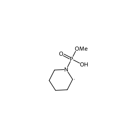 COP(=O)(O)N1[CH]CCCC1